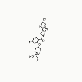 O=C(c1ccc(F)cc1O[C@H]1CC2CC(O)C(C1)N2CCF)N1Cc2nn3cc(Cl)cnc3c2C1